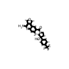 Nc1nc2cc(F)c(C(=O)N3CC[C@](O)(c4ccc(C(F)(F)F)cc4)C3)cc2c2c1COC2